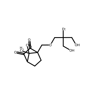 CCC(CO)(CO)COCC12CCC(C(=O)C1=O)C2(C)C